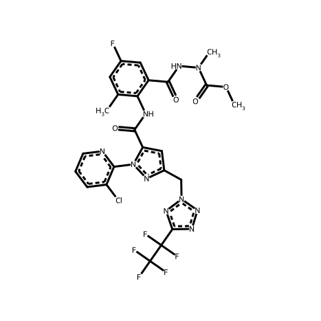 COC(=O)N(C)NC(=O)c1cc(F)cc(C)c1NC(=O)c1cc(Cn2nnc(C(F)(F)C(F)(F)F)n2)nn1-c1ncccc1Cl